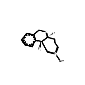 CCCN1CC[C@@H]2OCc3ccccc3[C@H]2C1